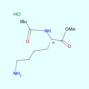 COC(=O)[C@H](CCCCN)NC(=O)C(C)(C)C.Cl